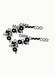 COc1cc2c(Oc3ccc(NC(=O)C4(C(=O)Nc5ccc(F)cc5)CC4)cc3F)ccnc2cc1OCCCCCCC(=O)[O-].COc1cc2c(Oc3ccc(NC(=O)C4(C(=O)Nc5ccc(F)cc5)CC4)cc3F)ccnc2cc1OCCCCCCC(=O)[O-].[Mg+2]